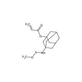 C=CC(=O)OC12CC3CC(CC(NSOC(F)(F)F)(C3)C1)C2